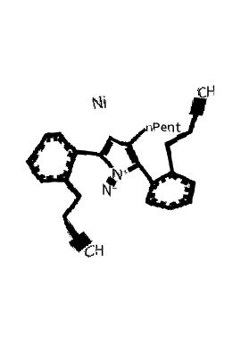 C#CCCc1ccccc1C1=CC(CCCCC)=C(c2ccccc2CCC#C)[N+]1=[N-].[Ni]